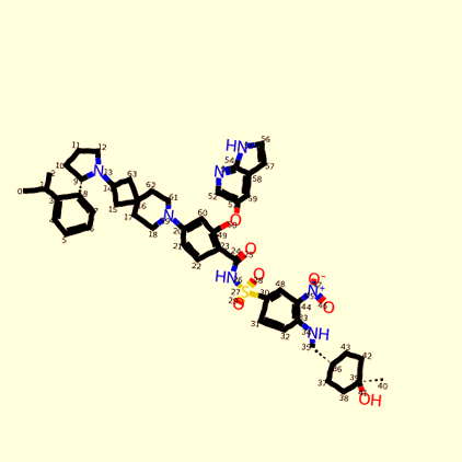 CC(C)c1ccccc1[C@@H]1CCCN1C1CC2(CCN(c3ccc(C(=O)NS(=O)(=O)c4ccc(NC[C@H]5CC[C@](C)(O)CC5)c([N+](=O)[O-])c4)c(Oc4cnc5[nH]ccc5c4)c3)CC2)C1